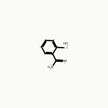 Cl.N=C(N)c1ccccc1I